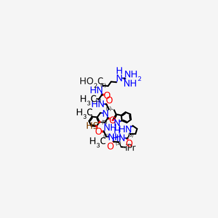 Cc1ccccc1CN(C(=O)[C@H](CS)NC(=O)[C@H](C)NC(=O)[C@H](CC(C)C)NC(=O)[C@@H]1CCCN1)[C@@H](Cc1c[nH]c2ccccc12)C(=O)N[C@@H](C)C(=O)N[C@@H](CCCNC(=N)N)C(=O)O